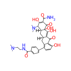 CN(C)CCNC(=O)c1ccc(-c2ccc(O)c3c2C[C@@H]2C[C@@H]4C(N(C)C)C(O)=C(C(N)=O)C(=O)[C@]4(O)C(O)=C2C3=O)cc1